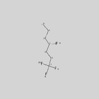 [CH2]CC[C@H](F)CCC(F)(F)F